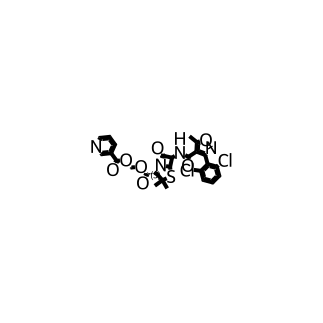 Cc1onc(-c2c(Cl)cccc2Cl)c1C(=O)NC1C(=O)N2C1SC(C)(C)[C@@H]2C(=O)OCOC(=O)c1cccnc1